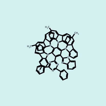 Cc1ccc2c(c1)c1ccccc1n2-c1c(-c2nc(-c3ccccc3)nc(-c3ccccc3)n2)c(-c2nc3ccccc3o2)c(-n2c3ccccc3c3cc(C)ccc32)c(-n2c3ccccc3c3cc(C)ccc32)c1-n1c2ccccc2c2cc(C)ccc21